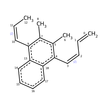 C=C/C=C\c1c(C)c(C)c(/C=C\C)c2ccccc12